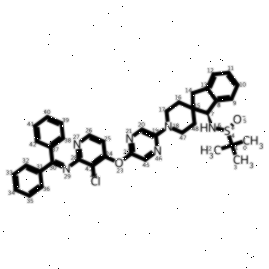 CC(C)(C)[S+]([O-])N[C@@H]1c2ccccc2CC12CCN(c1cnc(Oc3ccnc(N=C(c4ccccc4)c4ccccc4)c3Cl)cn1)CC2